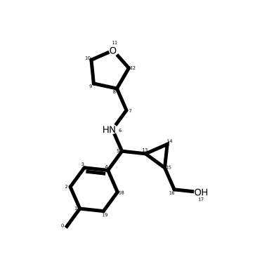 CC1CC=C(C(NCC2CCOC2)C2CC2CO)CC1